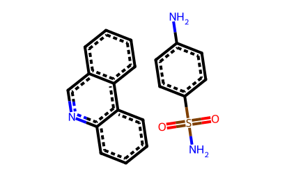 Nc1ccc(S(N)(=O)=O)cc1.c1ccc2c(c1)cnc1ccccc12